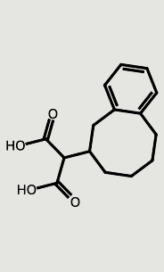 O=C(O)C(C(=O)O)C1CCCCc2ccccc2C1